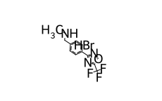 Br.CNCc1ccc(-c2noc(C(F)(F)F)n2)cc1